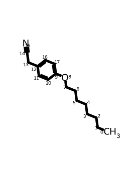 CCCCCCCCOc1ccc(CC#N)cc1